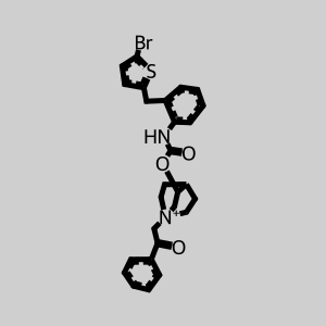 O=C(Nc1ccccc1Cc1ccc(Br)s1)OC1C[N+]2(CC(=O)c3ccccc3)CCC1CC2